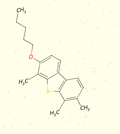 CCCCCOc1ccc2c(sc3c(C)c(C)ccc32)c1C